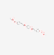 C=CC(=O)OCOc1ccc(C=CC(=O)Oc2ccc(OC(=O)C=Cc3ccc(OCOC(=O)C=C)cc3)c(C)c2)cc1